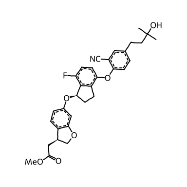 COC(=O)C[C@@H]1COc2cc(O[C@@H]3CCc4c(Oc5ccc(CCC(C)(C)O)cc5C#N)ccc(F)c43)ccc21